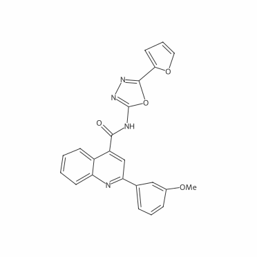 COc1cccc(-c2cc(C(=O)Nc3nnc(-c4ccco4)o3)c3ccccc3n2)c1